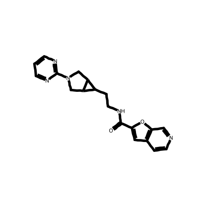 O=C(NCCC1C2CN(c3ncccn3)CC12)c1cc2ccncc2o1